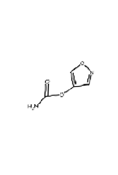 NC(=O)Oc1cnoc1